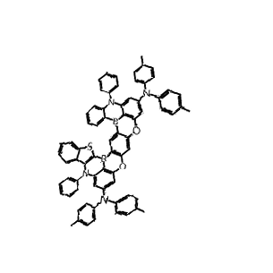 Cc1ccc(N(c2ccc(C)cc2)c2cc3c4c(c2)N(c2ccccc2)c2ccccc2B4c2cc4c(cc2O3)Oc2cc(N(c3ccc(C)cc3)c3ccc(C)cc3)cc3c2B4c2sc4ccccc4c2N3c2ccccc2)cc1